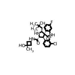 CC(C)(C)C[C@@H]1N[C@@H](C(=O)N[C@H]2C[C@@](C)(O)C2)[C@H](c2cccc(Cl)c2F)[C@]12C(=O)Nc1cc(F)ccc12